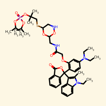 CCN(CC)c1ccc(C2(c3c(C)n(CC)c4ccccc34)OC(=O)c3ccccc32)c(OCC(=O)NCC2ONCC(SCC(C)(C)OP(=O)(OC(C)C)OC(C)C)O2)c1